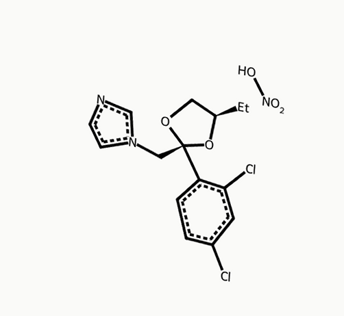 CC[C@@H]1CO[C@@](Cn2ccnc2)(c2ccc(Cl)cc2Cl)O1.O=[N+]([O-])O